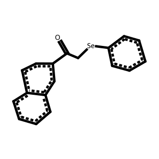 O=C(C[Se]c1ccccc1)c1ccc2ccccc2c1